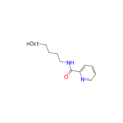 CCCCCCCCCCCCNC(=O)c1ccccn1